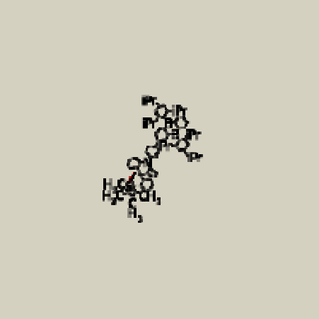 CC1=C(C)[Si]2(C(C)=C1C)c1ccccc1C1(c3ccccc3N(c3ccc(-c4ccc5c(c4)B(c4c(C(C)C)cc(C(C)C)cc4C(C)C)c4ccccc4B5c4c(C(C)C)cc(C(C)C)cc4C(C)C)cc3)c3ccccc31)c1ccccc12